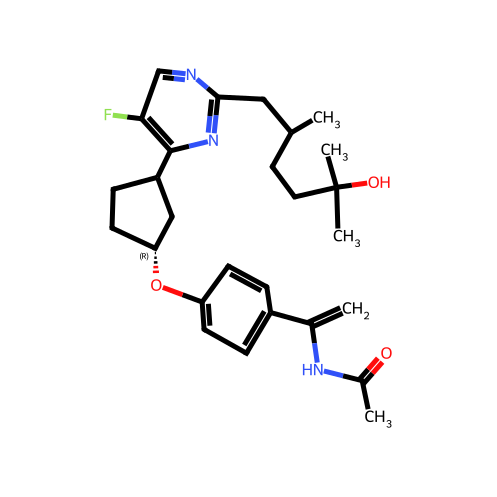 C=C(NC(C)=O)c1ccc(O[C@@H]2CCC(c3nc(CC(C)CCC(C)(C)O)ncc3F)C2)cc1